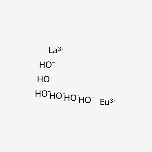 [Eu+3].[La+3].[OH-].[OH-].[OH-].[OH-].[OH-].[OH-]